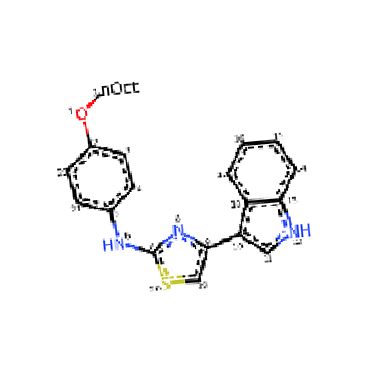 CCCCCCCCOc1ccc(Nc2nc(-c3c[nH]c4ccccc34)cs2)cc1